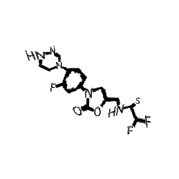 O=C1OC(CNC(=S)C(F)F)CN1c1ccc(N2C=NNCC2)c(F)c1